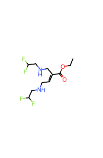 CCOC(=O)C(=CCNCC(F)F)CNCC(F)F